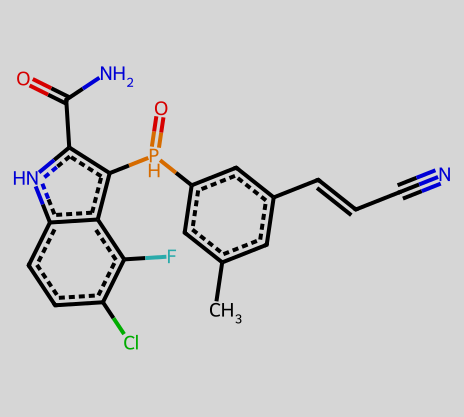 Cc1cc(/C=C/C#N)cc([PH](=O)c2c(C(N)=O)[nH]c3ccc(Cl)c(F)c23)c1